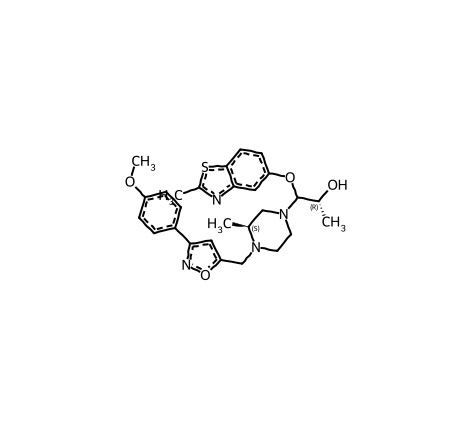 COc1ccc(-c2cc(CN3CCN(C(Oc4ccc5sc(C)nc5c4)[C@@H](C)O)C[C@@H]3C)on2)cc1